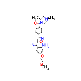 COCCOc1ccc(C(=N)c2cc(-c3ccc(C(=O)N4CCN(C)C[C@@H]4C)cc3)no2)c(N)c1